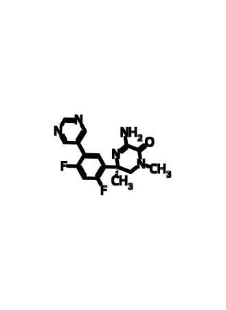 CN1C[C@@](C)(c2cc(-c3cncnc3)c(F)cc2F)N=C(N)C1=O